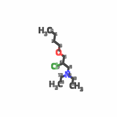 CCCCOCC(Cl)CN(CC)CC